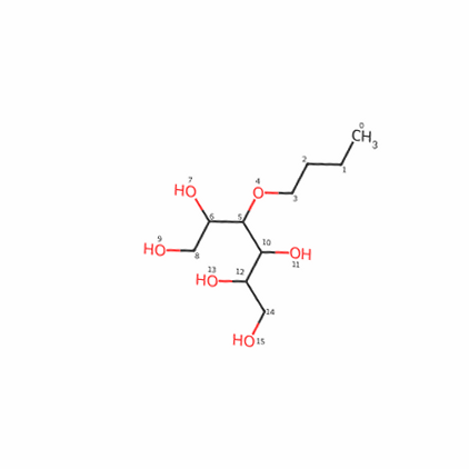 CCCCOC(C(O)CO)C(O)C(O)CO